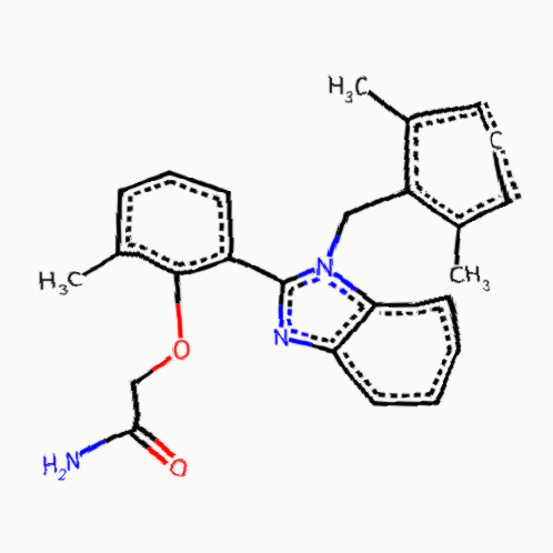 Cc1cccc(C)c1Cn1c(-c2cccc(C)c2OCC(N)=O)nc2ccccc21